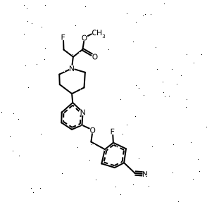 COC(=O)C(CF)N1CCC(c2cccc(OCc3ccc(C#N)cc3F)n2)CC1